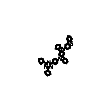 c1ccc(-c2nc(-c3ccccc3)nc(-c3ccc(-n4c5ccccc5c5cc6c(cc54)c4ccccc4n6-c4ccc5sc6ccccc6c5c4)cc3)n2)cc1